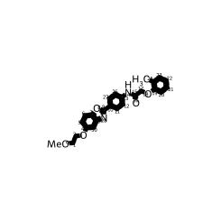 COCCOc1ccc2oc(-c3ccc(NC(=O)COc4ccccc4C)cc3)nc2c1